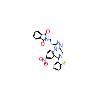 O=C1c2ccccc2C(=O)N1CCc1nnc2n1-c1ccc([N+](=O)[O-])cc1C(c1ccccc1F)=NC2